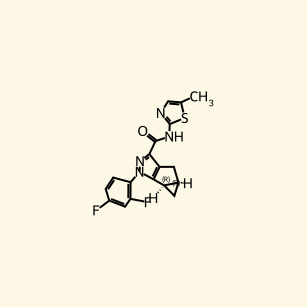 Cc1cnc(NC(=O)c2nn(-c3ccc(F)cc3F)c3c2C[C@H]2C[C@@H]32)s1